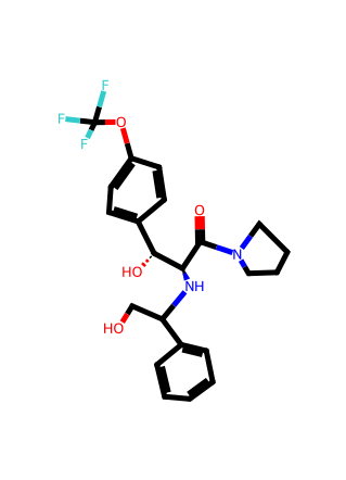 O=C([C@@H](NC(CO)c1ccccc1)[C@H](O)c1ccc(OC(F)(F)F)cc1)N1CCCC1